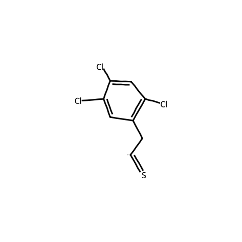 S=[C]Cc1cc(Cl)c(Cl)cc1Cl